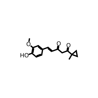 COc1cc(/C=C/C(=O)CC(=O)C2(C)CC2)ccc1O